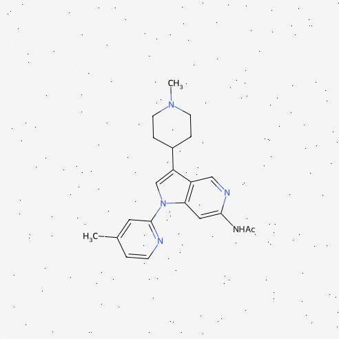 CC(=O)Nc1cc2c(cn1)c(C1CCN(C)CC1)cn2-c1cc(C)ccn1